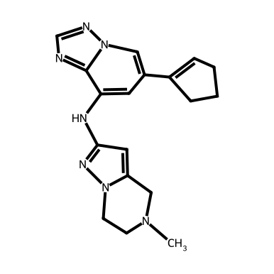 CN1CCn2nc(Nc3cc(C4=CCCC4)cn4ncnc34)cc2C1